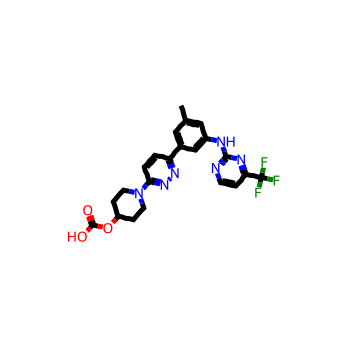 Cc1cc(Nc2nccc(C(F)(F)F)n2)cc(-c2ccc(N3CCC(OC(=O)O)CC3)nn2)c1